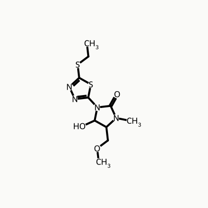 CCSc1nnc(N2C(=O)N(C)C(COC)C2O)s1